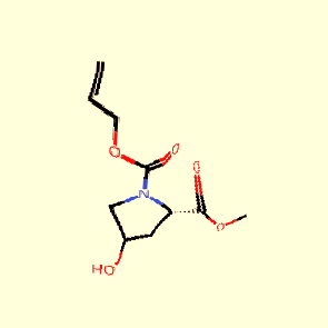 C=CCOC(=O)N1CC(O)C[C@H]1C(=O)OC